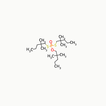 CCCC(C)(C)COP(=O)(SCC(C)(C)CCC)SCC(C)(C)CCC